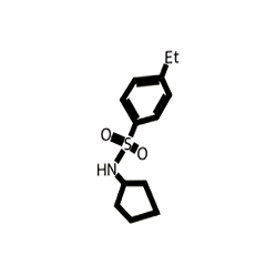 CCc1ccc(S(=O)(=O)NC2CCCC2)cc1